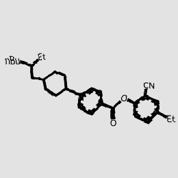 CCCCC(CC)CC1CCC(c2ccc(C(=O)Oc3ccc(CC)cc3C#N)cc2)CC1